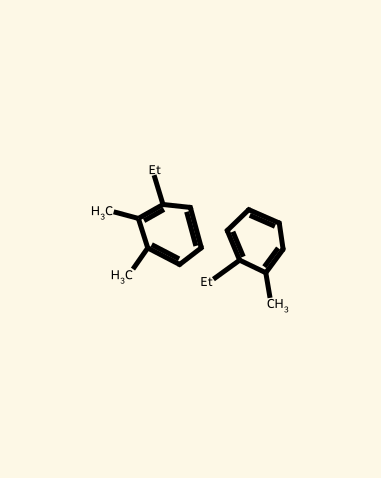 CCc1cccc(C)c1C.CCc1ccccc1C